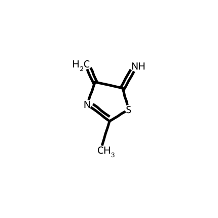 C=C1N=C(C)SC1=N